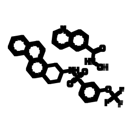 O=C(NO)c1ccc2ncccc2c1.O=S(=O)(NC1CCc2ccc3c(ccc4ccccc43)c2C1)c1cccc(OC(F)(F)F)c1